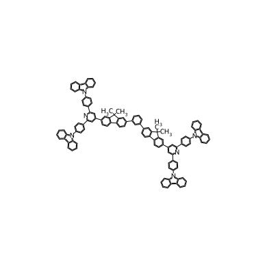 CC1(C)c2cc(-c3cccc(-c4ccc5c(c4)C(C)(C)c4cc(-c6cc(-c7ccc(-n8c9ccccc9c9ccccc98)cc7)nc(-c7ccc(-n8c9ccccc9c9ccccc98)cc7)c6)ccc4-5)c3)ccc2-c2ccc(-c3cc(-c4ccc(-n5c6ccccc6c6ccccc65)cc4)nc(-c4ccc(-n5c6ccccc6c6ccccc65)cc4)c3)cc21